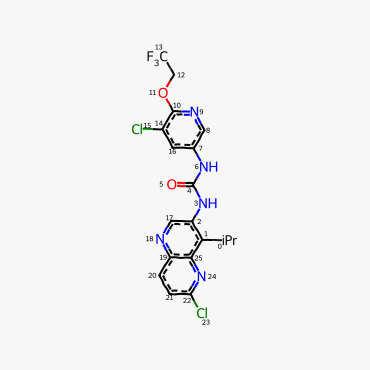 CC(C)c1c(NC(=O)Nc2cnc(OCC(F)(F)F)c(Cl)c2)cnc2ccc(Cl)nc12